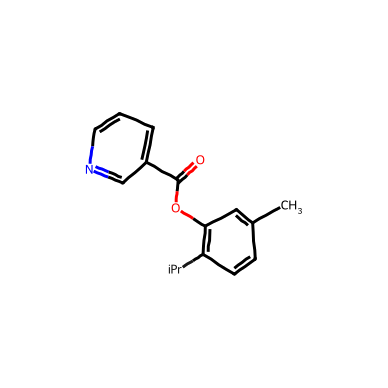 Cc1ccc(C(C)C)c(OC(=O)c2cccnc2)c1